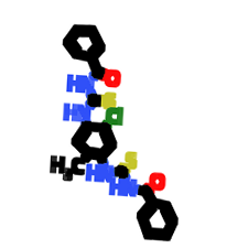 Cc1cc(NC(=S)NC(=O)c2ccccc2)c(Cl)cc1NC(=S)NC(=O)c1ccccc1